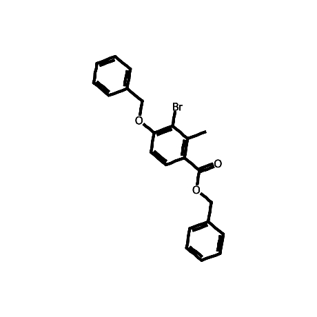 Cc1c(C(=O)OCc2ccccc2)ccc(OCc2ccccc2)c1Br